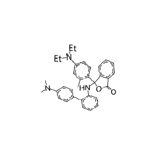 CCN(CC)c1ccc(C2(Nc3ccccc3-c3ccc(N(C)C)cc3)OC(=O)c3ccccc32)c(C)c1